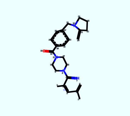 C=C(C)/C=C(/C)C(=N)N1CCN(C(=O)c2ccc(CN3CCCC3=C)cc2)CC1